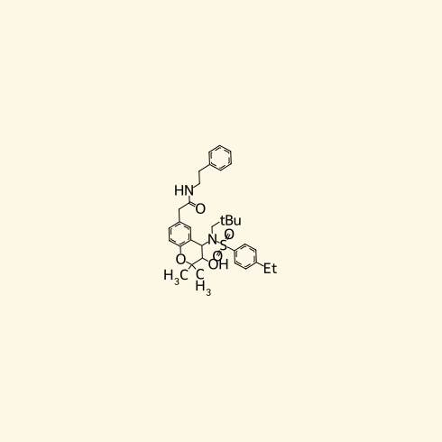 CCc1ccc(S(=O)(=O)N(CC(C)(C)C)C2c3cc(CC(=O)NCCc4ccccc4)ccc3OC(C)(C)C2O)cc1